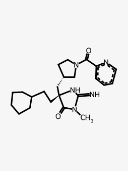 CN1C(=N)N[C@@](CCC2CCCCC2)(C[C@@H]2CCN(C(=O)c3ccccn3)C2)C1=O